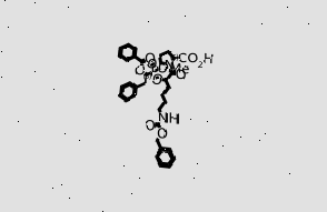 COP(=O)(OC(CCCCNC(=O)OCc1ccccc1)C(=O)N1CCC[C@H]1C(=O)O)[C@@H](Cc1ccccc1)OC(=O)c1ccccc1